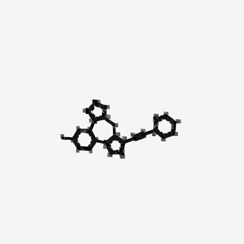 Cc1ccc2c(c1)-n1nncc1Cc1c(C#Cc3ccccn3)ncn1-2